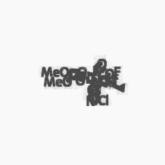 COc1ccc(S(=O)(=O)N(CCN2CCOCC2)CC(=O)O[C@@H](Cc2c(Cl)cncc2Cl)c2ccc(OC(F)F)c(OCC3CC3)c2)cc1OC